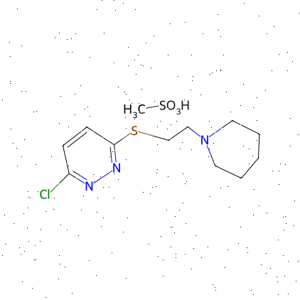 CS(=O)(=O)O.Clc1ccc(SCCN2CCCCC2)nn1